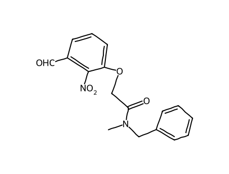 CN(Cc1ccccc1)C(=O)COc1cccc(C=O)c1[N+](=O)[O-]